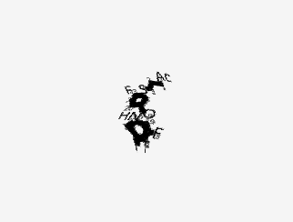 CC(=O)CCCSc1cc(C(=O)Nc2cc(F)c(F)c(F)c2)ccc1F